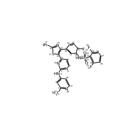 Cc1cc(Nc2nccc(-c3sc(C(C)C)nc3C3=CC(NS(=O)(=O)c4c(F)cccc4F)C(F)C=C3)n2)ccn1